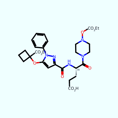 CCOC(=O)ON1CCN(C(=O)[C@H](CCC(=O)O)NC(=O)c2cc(OC3(C(=O)OCC)CCC3)n(-c3ccccc3)n2)CC1